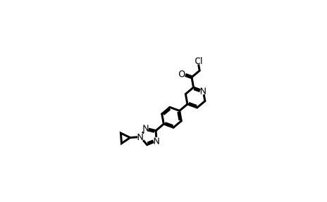 O=C(CCl)C1=NCC=C(c2ccc(-c3ncn(C4CC4)n3)cc2)C1